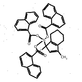 CC1=C[C](C)([Ti]([O]C(=O)c2cccc3ccccc23)([O]C(=O)c2cccc3ccccc23)[O]C(=O)c2cccc3ccccc23)C2=C1CCCC2